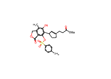 COC(=O)CCC1=CC(c2c(O)c(C)c3c(c2OS(=O)(=O)c2ccc(C)cc2)C(=O)OC3)CC1